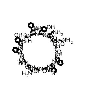 CCCC[C@H]1C(=O)N(C)CC(=O)N[C@@H](CC(N)=P)C(=O)N[C@@H](C(C)C)C(=O)N(C)[C@@H](Cc2ccccc2)C(=O)N[C@@H](Cc2ccc(O)cc2)C(=O)N(C)CC(=O)N[C@@H](Cc2c[nH]c3ccccc23)C(=O)N[C@@H](Cc2ccc(O)cc2)C(=O)N[C@@H](CCCN)C(=O)N[C@H](C(=O)NCC(N)=O)CSCC(=O)N[C@@H](Cc2ccccc2)C(=O)N[C@@H](Cc2ccncc2)C(=O)N1C